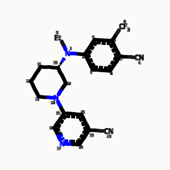 CCN(c1ccc(C#N)c(C(F)(F)F)c1)[C@H]1CCCN(c2cncc(C#N)c2)C1